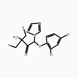 CC(CF)(CF)C(=O)C(Oc1ccc(Cl)cc1Cl)n1cncn1